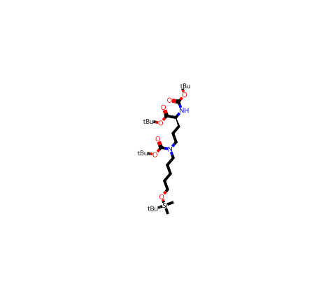 CC(C)(C)OC(=O)N[C@@H](CCCN(CCCCCO[Si](C)(C)C(C)(C)C)C(=O)OC(C)(C)C)C(=O)OC(C)(C)C